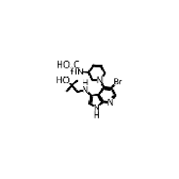 CC(C)(O)CNc1c[nH]c2ncc(Br)c(N3CCCC(NC(=O)O)C3)c12